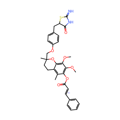 COc1c(OC(=O)/C=C/c2ccccc2)c(C)c2c(c1OC)OC(C)(COc1ccc(CC3SC(=N)NC3=O)cc1)CC2